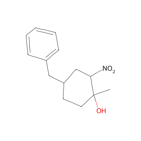 CC1(O)CCC(Cc2ccccc2)CC1[N+](=O)[O-]